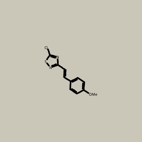 COc1ccc(C=Cc2nsc(Cl)n2)cc1